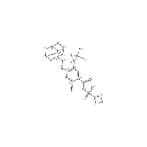 O=C(NS(=O)(=O)N1CCC1)c1cc(C2CC2(F)F)c(OCC23CC4CC(CC(C4)C2)C3)cc1F